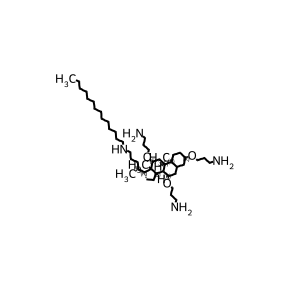 CCCCCCCCCCCCCCNCCC[C@@H](C)[C@H]1CC[C@H]2C3[C@H](OCCCN)CC4C[C@H](OCCCN)CC[C@]4(C)[C@H]3C[C@H](OCCCN)C12C